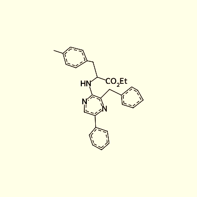 CCOC(=O)C(Cc1ccc(C)cc1)Nc1ncc(-c2ccccc2)nc1Cc1ccccc1